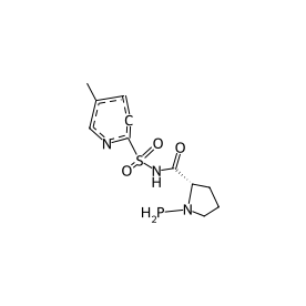 Cc1ccc(S(=O)(=O)NC(=O)[C@@H]2CCCN2P)nc1